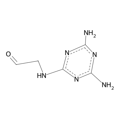 Nc1nc(N)nc(NCC=O)n1